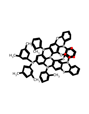 Cc1cc(C)cc(N(c2cc(C)cc(C)c2)c2cc3c4c(c2)N(c2ccccc2C)c2cc5c6c(c2B4c2c(cc4c7c2Oc2ccccc2B7c2ccccc2O4)N3c2ccccc2C)Sc2ccccc2B6c2ccccc2S5)c1